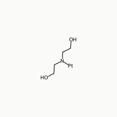 OCC[N]([Pt])CCO